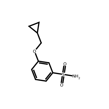 NS(=O)(=O)c1cccc(OCC2CC2)c1